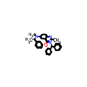 Cc1nc2ccc(N(C)[C@@H](C)c3ccccc3)cc2c(=O)n1C(c1ccccc1)c1ccccc1